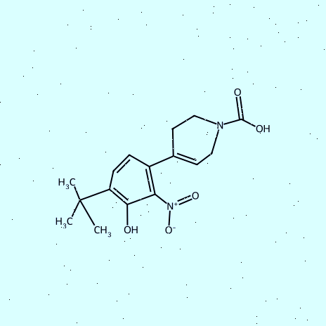 CC(C)(C)c1ccc(C2=CCN(C(=O)O)CC2)c([N+](=O)[O-])c1O